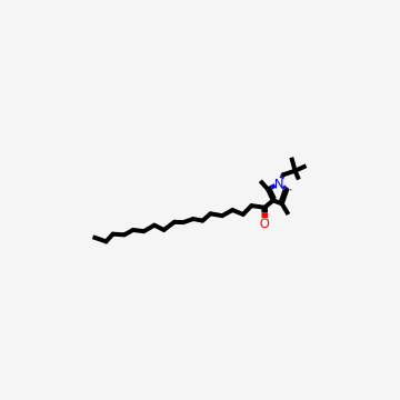 CCCCCCCCCCCCCCCCCC(=O)c1c(C)[c]n(CC(C)(C)C)c1C